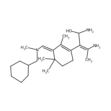 CC1=C(C(=C(\C)N)/C(N)O)CCC(C)(C)/C1=C\N(C)CC1CCCCC1